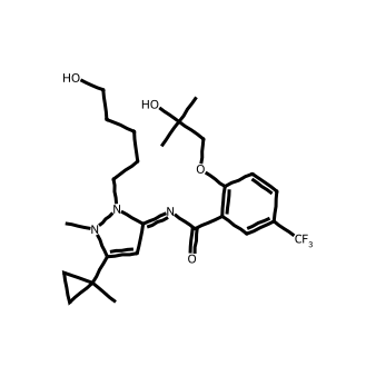 Cn1c(C2(C)CC2)c/c(=N\C(=O)c2cc(C(F)(F)F)ccc2OCC(C)(C)O)n1CCCCCO